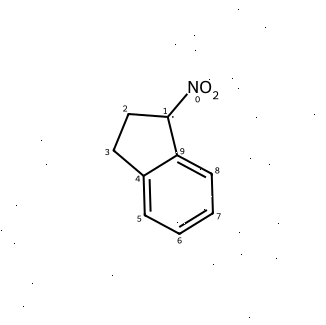 O=[N+]([O-])[C]1CCc2ccccc21